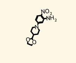 Nc1cc(N2CCC(C3OCCO3)CC2)ccc1[N+](=O)[O-]